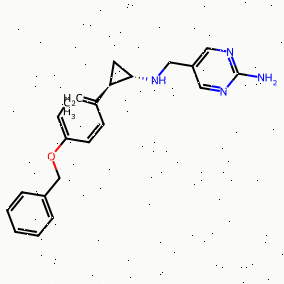 C=C(/C=C\C(=C/C)OCc1ccccc1)[C@H]1C[C@@H]1NCc1cnc(N)nc1